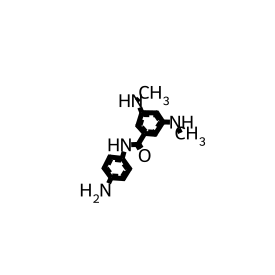 CNc1cc(NC)cc(C(=O)Nc2ccc(N)cc2)c1